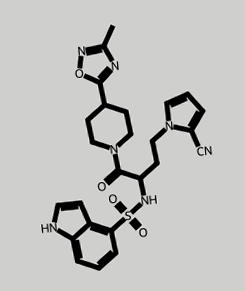 Cc1noc(C2CCN(C(=O)C(CCn3cccc3C#N)NS(=O)(=O)c3cccc4[nH]ccc34)CC2)n1